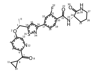 C[C@@H](Oc1ccc(C(=O)C2CC2)nc1)c1cc(-c2ccc(C(=O)N[C@H]3CCCNC3=O)c(F)c2)ns1